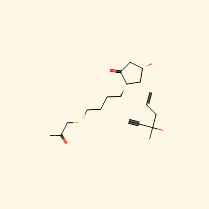 C#CC(O)(CC=C[C@H]1[C@H](O)CC(=O)[C@@H]1CCCCSCC(=O)OC)CCCC